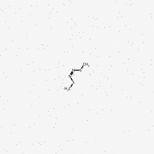 CS/N=N\SC